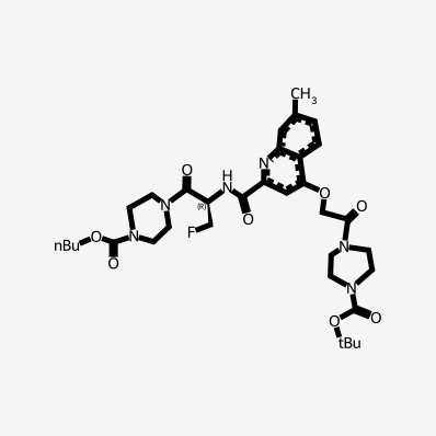 CCCCOC(=O)N1CCN(C(=O)[C@H](CF)NC(=O)c2cc(OCC(=O)N3CCN(C(=O)OC(C)(C)C)CC3)c3ccc(C)cc3n2)CC1